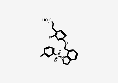 Cc1cccc(S(=O)(=O)N2CCc3cccc(COc4ccc(CCC(=O)O)c(F)c4)c32)c1